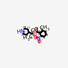 Cc1cccc([N+](=O)[O-])c1C(=O)OC(C)(C)C1CCNCC1